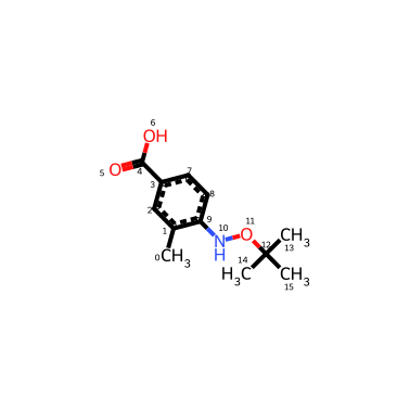 Cc1cc(C(=O)O)ccc1NOC(C)(C)C